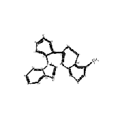 Cc1cccc2cc(-c3ccccc3-n3cnc4ccccc43)ccc12